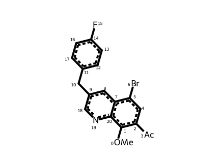 COc1c(C(C)=O)cc(Br)c2cc(Cc3ccc(F)cc3)cnc12